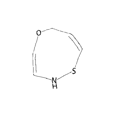 C1=C\SN/C=C\OC/1